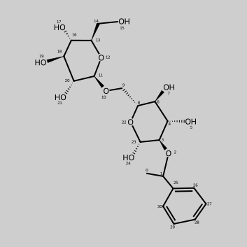 CC(O[C@@H]1[C@@H](O)[C@H](O)[C@@H](CO[C@@H]2O[C@H](CO)[C@@H](O)[C@H](O)[C@H]2O)O[C@H]1O)c1ccccc1